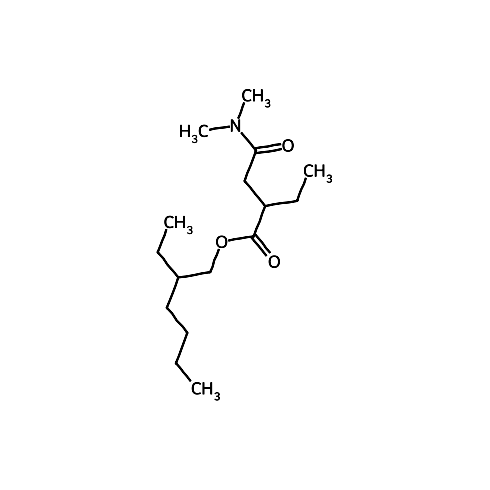 CCCCC(CC)COC(=O)C(CC)CC(=O)N(C)C